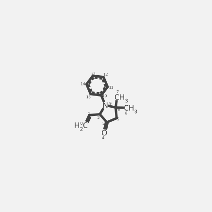 C=CC1C(=O)CC(C)(C)N1c1ccccc1